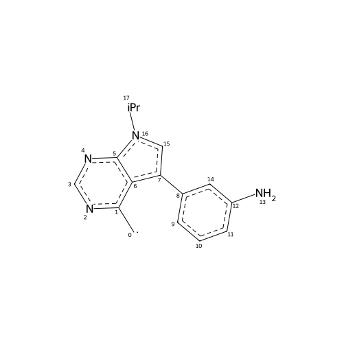 [CH2]c1ncnc2c1c(-c1cccc(N)c1)cn2C(C)C